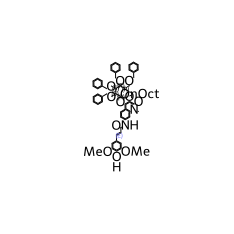 CCCCCCCCOc1c(O[C@H]2O[C@H](COCc3ccccc3)[C@@H](OCc3ccccc3)[C@H](OCc3ccccc3)[C@@H]2OCc2ccccc2)c2ccc(NC(=O)/C=C/c3cc(OC)c(O)c(OC)c3)cc2n(C)c1=O